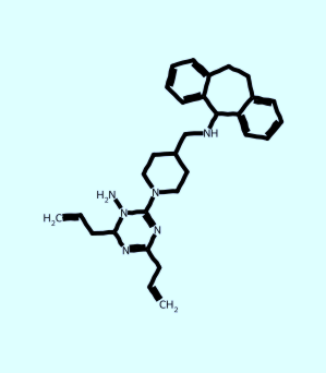 C=CCC1=NC(CC=C)N(N)C(N2CCC(CNC3c4ccccc4CCc4ccccc43)CC2)=N1